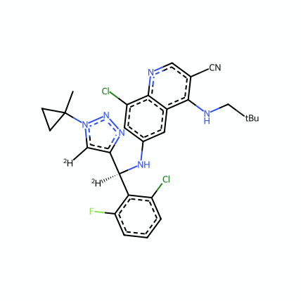 [2H]c1c([C@@]([2H])(Nc2cc(Cl)c3ncc(C#N)c(NCC(C)(C)C)c3c2)c2c(F)cccc2Cl)nnn1C1(C)CC1